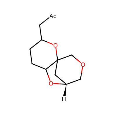 CC(=O)CC1CCC2O[C@H]3COCC2(C3)O1